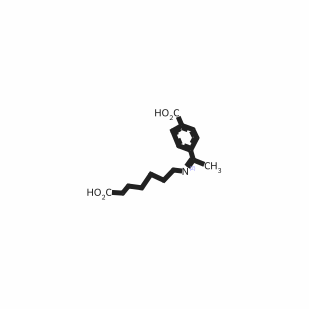 C/C(=N/CCCCCCC(=O)O)c1ccc(C(=O)O)cc1